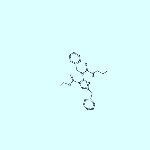 CCCNC(=S)N(Cc1ccccc1)c1nn(Cc2ccccc2)cc1C(=O)OCC